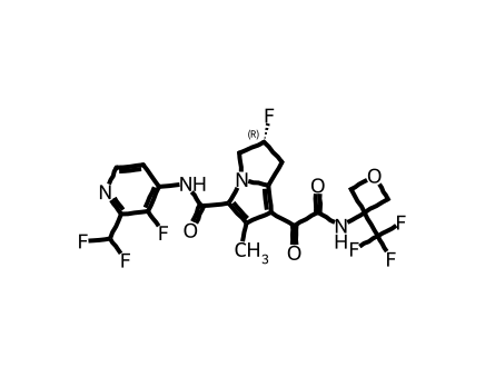 Cc1c(C(=O)C(=O)NC2(C(F)(F)F)COC2)c2n(c1C(=O)Nc1ccnc(C(F)F)c1F)C[C@H](F)C2